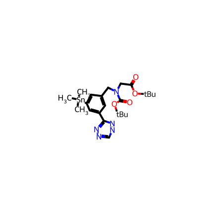 CC(C)(C)OC(=O)CN(Cc1cc(-c2nncnn2)c[c]([Sn]([CH3])([CH3])[CH3])c1)C(=O)OC(C)(C)C